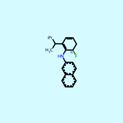 CC(C)C(C)C1=C(Nc2ccc3ccccc3c2)[C@H](F)CC=C1